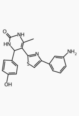 CC1=C(c2nc(-c3cccc(N)c3)cs2)C(c2ccc(O)cc2)NC(=O)N1